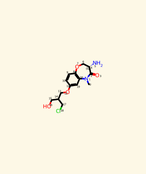 CN1C(=O)[C@@H](N)COc2ccc(OCC(CO)CCl)cc21